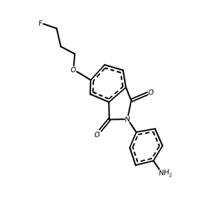 Nc1ccc(N2C(=O)c3ccc(OCCCF)cc3C2=O)cc1